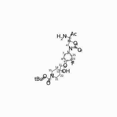 CC(=O)C(N)[C@@H]1CN(c2ccc(OCC3(O)CCN(C(=O)OC(C)(C)C)CC3)c(F)c2)C(=O)O1